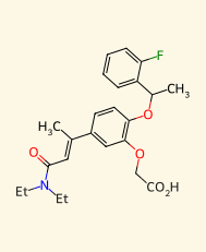 CCN(CC)C(=O)C=C(C)c1ccc(OC(C)c2ccccc2F)c(OCC(=O)O)c1